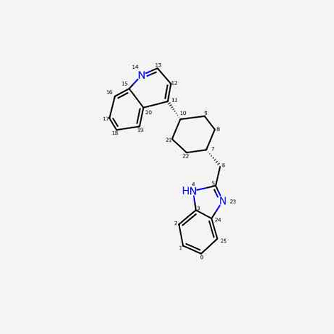 c1ccc2[nH]c(C[C@H]3CC[C@@H](c4ccnc5ccccc54)CC3)nc2c1